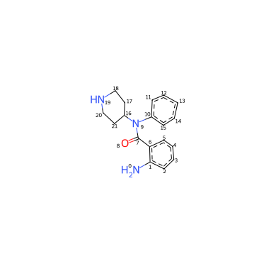 Nc1ccccc1C(=O)N(c1ccccc1)C1CCNCC1